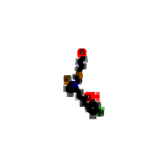 O=CCCCSCCN1C(=S)CC[C@@H]1/C=C/[C@@H](O)Cc1ccc(F)cc1